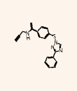 C#CCNC(=C)c1ccc(Sn2cnc(-c3ccccc3)n2)cc1